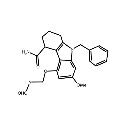 COc1cc(OCNC=O)c2c3c(n(Cc4ccccc4)c2c1)CCCC3C(N)=O